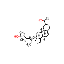 CCC(O)C1CCC2=CC[C@@H]3[C@H](CC[C@]4(C)[C@@H]([C@H](C)CCCC(C)(C)O)CC[C@@H]34)[C@H]2C1